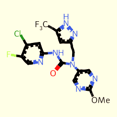 COc1ncc(N(Cc2cc(C(F)(F)F)[nH]n2)C(=O)Nc2cc(Cl)c(F)cn2)cn1